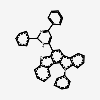 C1=C=CC(C2=NC(c3ccccc3)NC(c3cc4c5ccccc5n(-c5ccccc5)c4c4c3oc3ccccc34)=C2)=CC=1